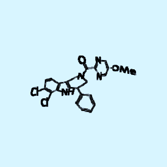 COc1cnc(C(=O)N2Cc3c([nH]c4c(Cl)c(Cl)ccc34)C(c3ccccc3)C2)nc1